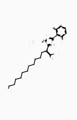 CCCCCCCCCCCCC(=C(C)Cl)c1nc(-c2c(F)cccc2F)nn1C